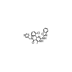 CC1=C(C(=O)NCc2cncs2)C(c2ccccc2Cl)N=C(Nc2nc3ccccc3o2)N1